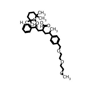 COCCOCCOCc1ccc(C(C)CC(CC(ON2C(C)(C)CCCC2(C)C)c2ccccc2)C(=O)O)cc1